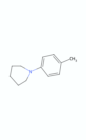 Cc1ccc(N2CC[CH]CC2)cc1